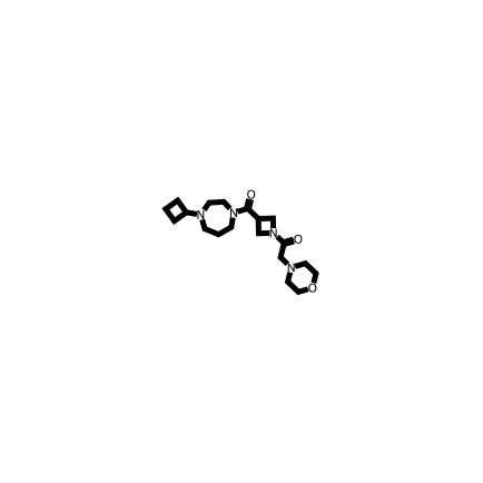 O=C(CN1CCOCC1)N1CC(C(=O)N2CCCN(C3CCC3)CC2)C1